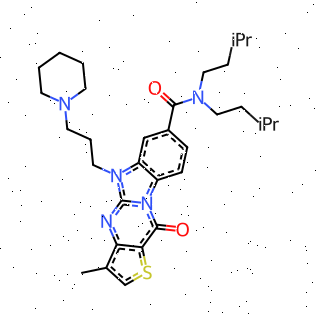 Cc1csc2c(=O)n3c4ccc(C(=O)N(CCC(C)C)CCC(C)C)cc4n(CCCN4CCCCC4)c3nc12